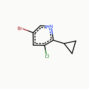 Clc1cc(Br)cnc1C1CC1